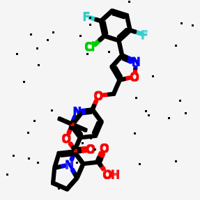 CC(C)(C)OC(=O)N1C2C=C(c3ccc(OCc4cc(-c5c(F)ccc(F)c5Cl)no4)nc3)C(C(=O)O)C1CC2